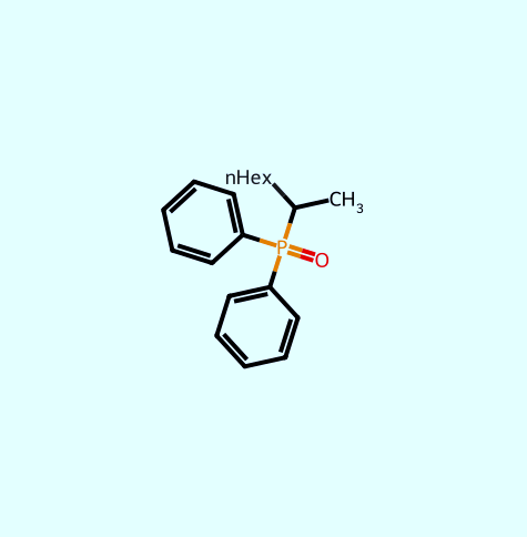 CCCCCCC(C)P(=O)(c1ccccc1)c1ccccc1